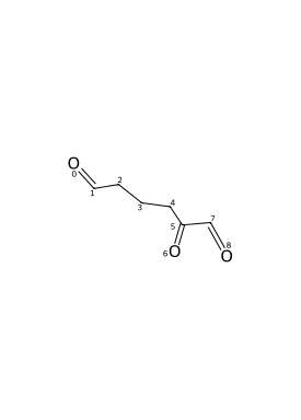 O=CCCCC(=O)C=O